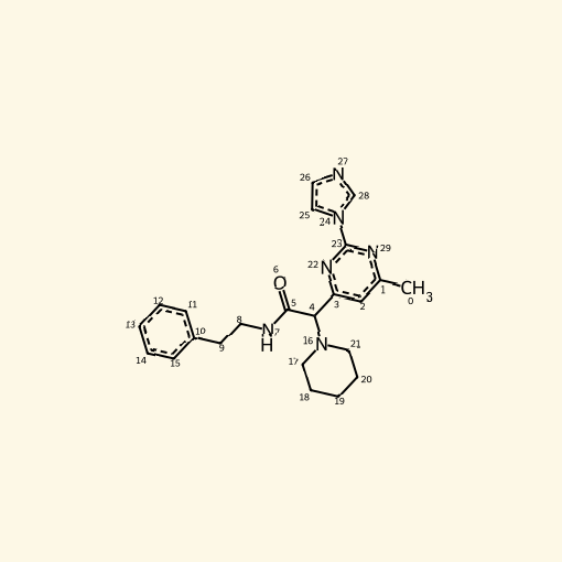 Cc1cc(C(C(=O)NCCc2ccccc2)N2CCCCC2)nc(-n2ccnc2)n1